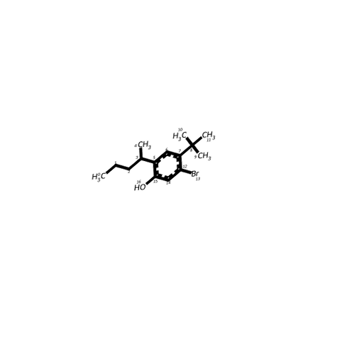 CCCC(C)c1cc(C(C)(C)C)c(Br)cc1O